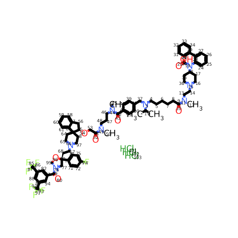 CC(C)N(CCCCCC(=O)N(C)CCN1CCC(N(C(=O)O)c2ccccc2-c2ccccc2)CC1)Cc1ccc(C(=O)N(C)CCCN(C)C(=O)CO[C@H]2Cc3ccccc3C23CCN(CC[C@@]2(c4ccc(F)cc4)CN(C(=O)c4cc(C(F)(F)F)cc(C(F)(F)F)c4)CO2)CC3)cc1.Cl.Cl.Cl